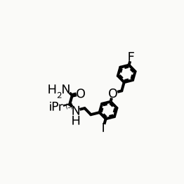 CC(C)[C@H](NCCc1cc(OCc2ccc(F)cc2)ccc1I)C(N)=O